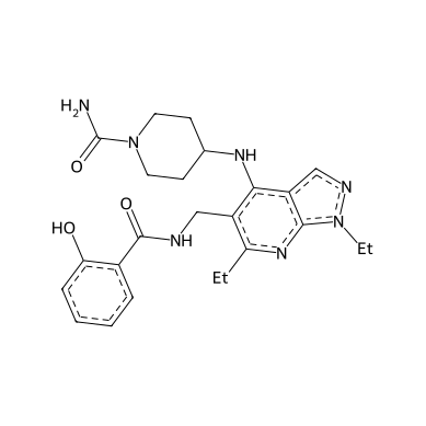 CCc1nc2c(cnn2CC)c(NC2CCN(C(N)=O)CC2)c1CNC(=O)c1ccccc1O